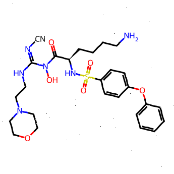 N#C/N=C(/NCCN1CCOCC1)N(O)C(=O)[C@@H](CCCCN)NS(=O)(=O)c1ccc(Oc2ccccc2)cc1